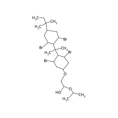 CCC(C)(C)C1CC(Br)C(C(C)(C)C2C(Br)CC(OCC(O)OC(C)C)CC2Br)C(Br)C1